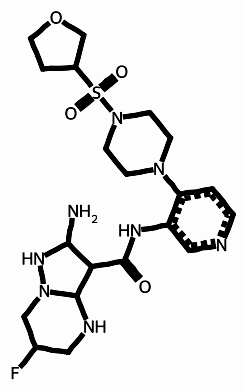 NC1NN2CC(F)CNC2C1C(=O)Nc1cnccc1N1CCN(S(=O)(=O)C2CCOC2)CC1